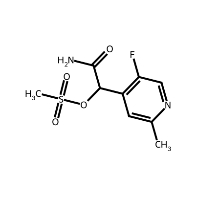 Cc1cc(C(OS(C)(=O)=O)C(N)=O)c(F)cn1